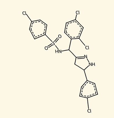 O=S(=O)(NC(C1=NNC(c2ccc(Cl)cc2)C1)c1ccc(Cl)cc1Cl)c1ccc(Cl)cc1